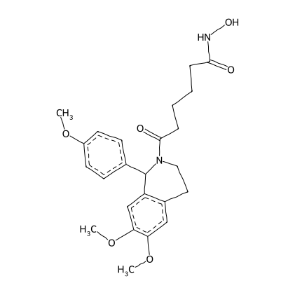 COc1ccc(C2c3cc(OC)c(OC)cc3CCN2C(=O)CCCCC(=O)NO)cc1